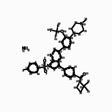 Cc1ccc(S(=O)(=O)n2cc(-c3ccc(C(=O)N4CCC4(C)C)cc3)c3cc(-c4ccc(N5CCN(C)CC5)c(OC(F)(F)F)c4)cnc32)cc1.N